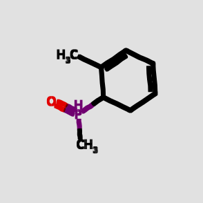 CC1=CC=CCC1[PH](C)=O